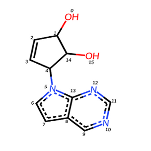 OC1C=CC(n2ccc3cncnc32)C1O